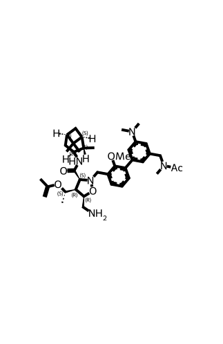 C=C(C)O[C@@H](C)[C@@H]1[C@H](CN)ON(Cc2cccc(-c3cc(CN(C)C(C)=O)cc(N(C)C)c3)c2OC)[C@@H]1C(=O)N[C@H]1C[C@H]2C[C@@H]([C@@H]1C)C2(C)C